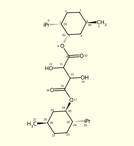 CC(C)[C@@H]1CC[C@@H](C)C[C@@H]1OC(=O)C(O)C(O)C(=O)O[C@@H]1C[C@H](C)CC[C@H]1C(C)C